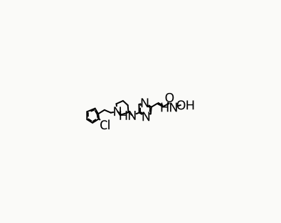 O=C(/C=C/c1cnc(N[C@@H]2CCCN(CCc3ccccc3Cl)C2)cn1)NO